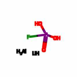 O=P(O)(O)F.[AlH3].[LiH]